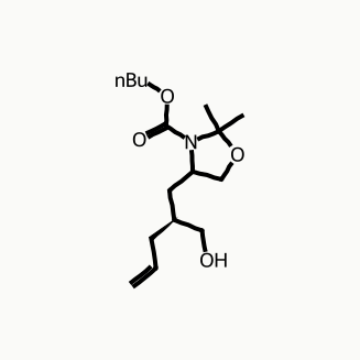 C=CC[C@H](CO)CC1COC(C)(C)N1C(=O)OCCCC